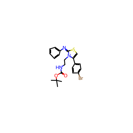 CC(C)(C)OC(=O)NCCn1c(-c2ccc(Br)cc2)cs/c1=N/c1ccccc1